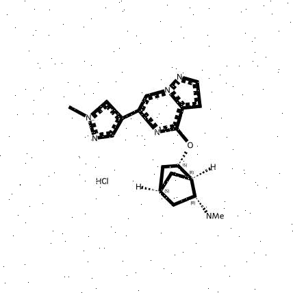 CN[C@@H]1C[C@@H]2C[C@H]1[C@@H](Oc1nc(-c3cnn(C)c3)cn3nccc13)C2.Cl